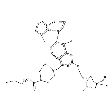 Cc1cccc2cccc(-c3ncc4c(N5CCN(C(=O)/C=C/CF)CC5)nc(OC[C@@H]5CC(F)(F)CN5C)nc4c3F)c12